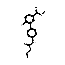 CCCC(=O)Nc1ccc(-c2cc(C(=O)OC)ccc2Br)cc1